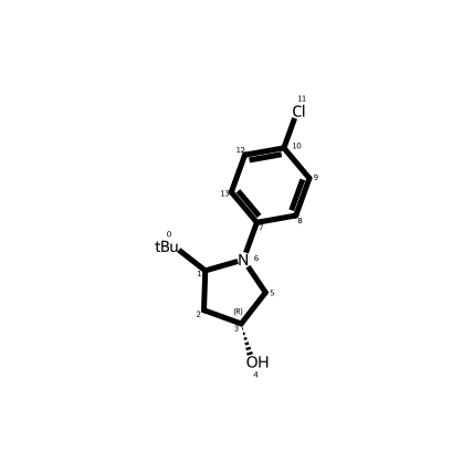 CC(C)(C)C1C[C@@H](O)CN1c1ccc(Cl)cc1